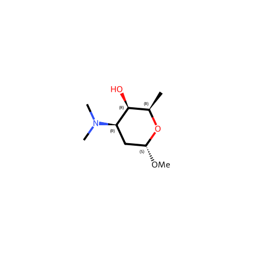 CO[C@@H]1C[C@@H](N(C)C)[C@@H](O)[C@@H](C)O1